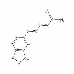 N=C(N)C=CC=Cc1ccc2c(c1)OCO2